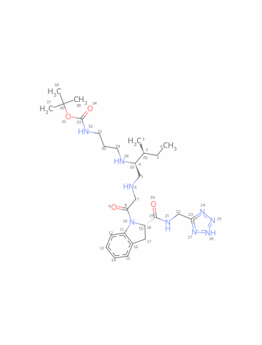 CC[C@H](C)[C@@H](CNCC(=O)N1c2ccccc2C[C@H]1C(=O)NCc1nn[nH]n1)NCCCNC(=O)OC(C)(C)C